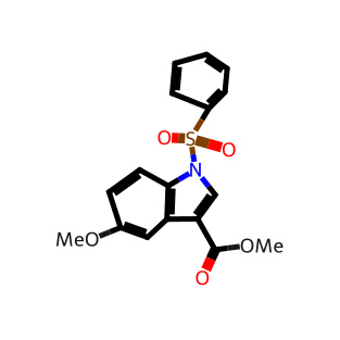 COC(=O)c1cn(S(=O)(=O)c2ccccc2)c2ccc(OC)cc12